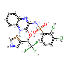 O=S(=O)(Nc1nc2ccccc2nc1OC(c1cncs1)C(F)(F)F)c1cccc(Cl)c1Cl